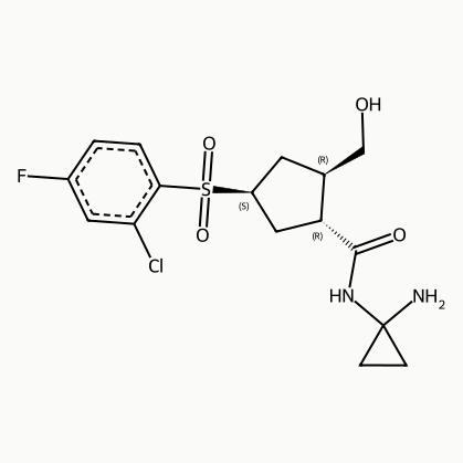 NC1(NC(=O)[C@@H]2C[C@@H](S(=O)(=O)c3ccc(F)cc3Cl)C[C@H]2CO)CC1